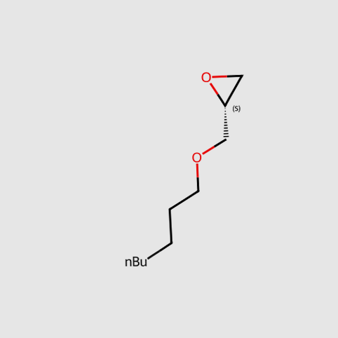 CCCCCCCOC[C@H]1CO1